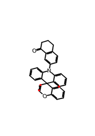 O=C1CCCc2ccc(N3c4ccccc4C4(c5ccccc5Oc5ccccc54)c4ccccc43)cc21